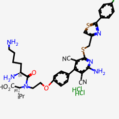 CC(C)[C@H](C(=O)O)N(CCOc1ccc(-c2c(C#N)c(N)nc(SCc3csc(-c4ccc(Cl)cc4)n3)c2C#N)cc1)C(=O)[C@@H](N)CCCCN.Cl.Cl